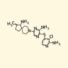 C=C1CCC2(CCN(c3cnc(Sc4ccnc(N)c4Cl)c(N)n3)CC2)[C@@H]1N